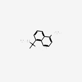 CNC(C)(C(=O)O)c1cccc2c(OC)cccc12